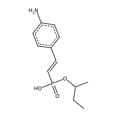 CCC(C)OP(=O)(O)C=Cc1ccc(N)cc1